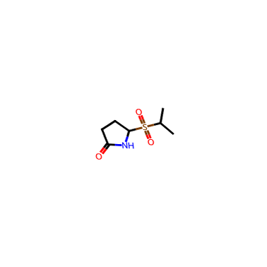 CC(C)S(=O)(=O)C1CCC(=O)N1